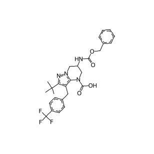 CC(C)(C)c1nn2c(c1Cc1ccc(C(F)(F)F)cc1)N(C(=O)O)CC(NC(=O)OCc1ccccc1)C2